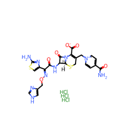 Cl.Cl.Cl.NC(=O)c1cc[n+](CC2=C(C(=O)[O-])N3C(=O)C(NC(=O)C(=NOCc4c[nH]cn4)c4csc(N)n4)[C@@H]3SC2)cc1